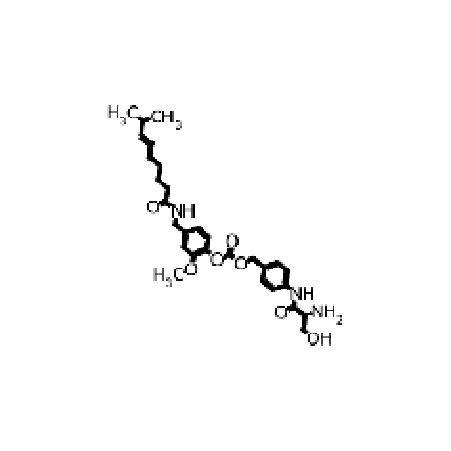 COc1cc(CNC(=O)CCCC/C=C/C(C)C)ccc1OC(=O)OCc1ccc(NC(=O)[C@@H](N)CO)cc1